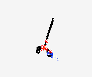 CCCCCCCCCCCCCCCCOCCCOP(=O)(COC(C)Cn1ccc(N)nc1=O)Oc1cccc2ccccc12